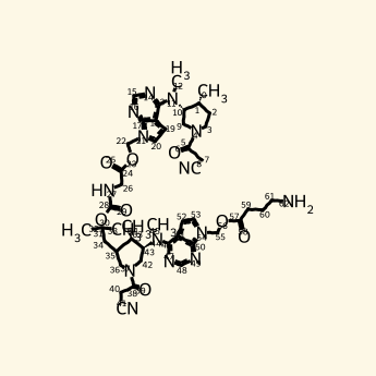 C[C@@H]1CCN(C(=O)CC#N)C[C@@H]1N(C)c1ncnc2c1ccn2COC(=O)CNC(=O)OC(C)(C)CC1CN(C(=O)CC#N)C[C@H](N(C)c2ncnc3c2ccn3COC(=O)CCCN)[C@@H]1C